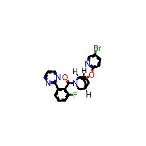 O=C(c1c(F)cccc1-c1ncccn1)N1C[C@@H]2CC[C@H]1[C@H](Oc1ccc(Br)cn1)C2